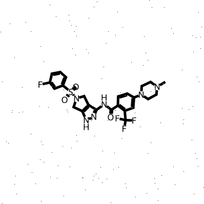 CN1CCN(c2ccc(C(=O)Nc3n[nH]c4c3CN(S(=O)(=O)c3cccc(F)c3)C4)c(C(F)(F)F)c2)CC1